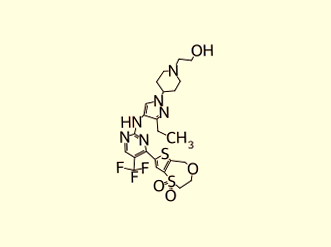 CCc1nn(C2CCN(CCO)CC2)cc1Nc1ncc(C(F)(F)F)c(-c2cc3c(s2)COCCS3(=O)=O)n1